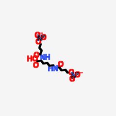 O=C(CCCO[N+](=O)[O-])NCCCCC(NC(=O)CCCO[N+](=O)[O-])C(=O)O